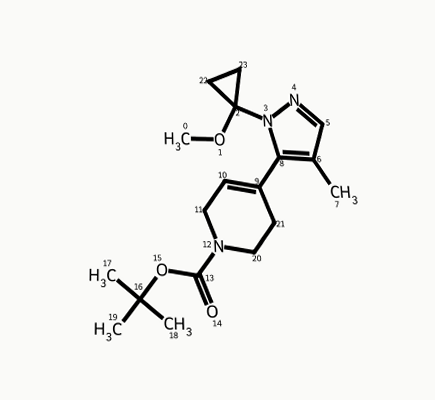 COC1(n2ncc(C)c2C2=CCN(C(=O)OC(C)(C)C)CC2)CC1